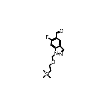 C[Si](C)(C)CCOCn1ncc2cc(C=O)c(F)cc21